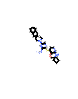 Nc1nc(N2CCC3(CC2)Cc2ccccc2C3)cnc1Sc1ccnc2c1OCC1(CCCC1)N2